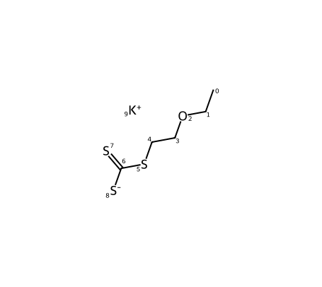 CCOCCSC(=S)[S-].[K+]